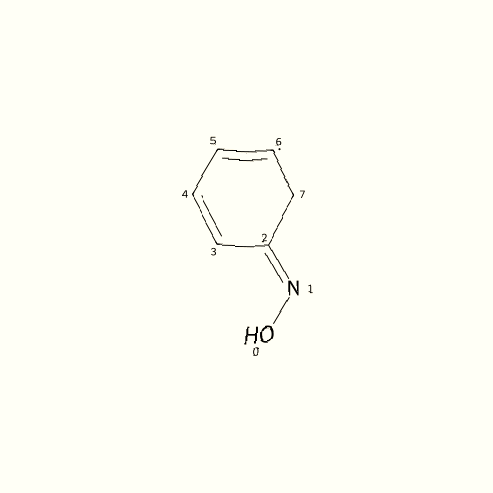 O/N=C1\C=CC=[C]C1